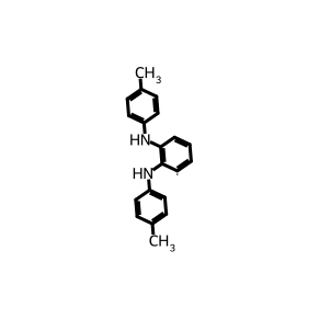 Cc1ccc(Nc2[c]cccc2Nc2ccc(C)cc2)cc1